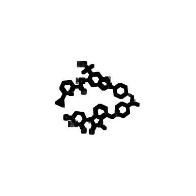 CN(C[C@H]1CC[C@H](n2cc3cc(NC(=O)c4cccc(C5CC5)n4)c(C(C)(C)O)cc3n2)CC1)C1CCN(Cc2cccc3c2n(C)c(=O)n3C2CCC(=O)NC2=O)CC1